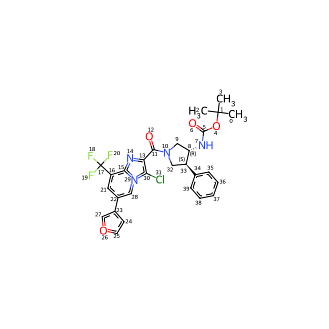 CC(C)(C)OC(=O)N[C@H]1CN(C(=O)c2nc3c(C(F)(F)F)cc(-c4ccoc4)cn3c2Cl)C[C@@H]1c1ccccc1